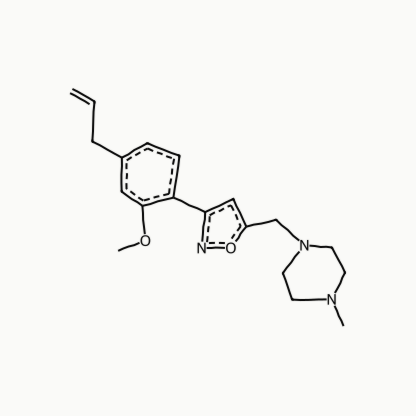 C=CCc1ccc(-c2cc(CN3CCN(C)CC3)on2)c(OC)c1